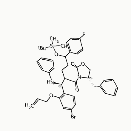 C=CCOc1cc(Br)ccc1[C@@H](Nc1ccccc1)C(CCC(O[Si](C)(C)C(C)(C)C)c1ccc(F)cc1)C(=O)N1C(=O)OC[C@@H]1Cc1ccccc1